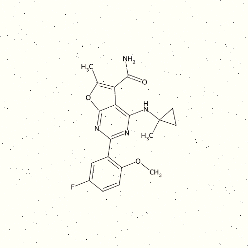 COc1ccc(F)cc1-c1nc(NC2(C)CC2)c2c(C(N)=O)c(C)oc2n1